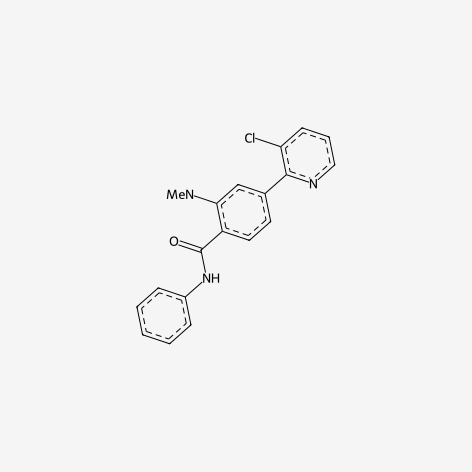 CNc1cc(-c2ncccc2Cl)ccc1C(=O)Nc1ccccc1